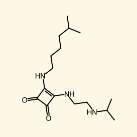 CC(C)CCCCNc1c(NCCNC(C)C)c(=O)c1=O